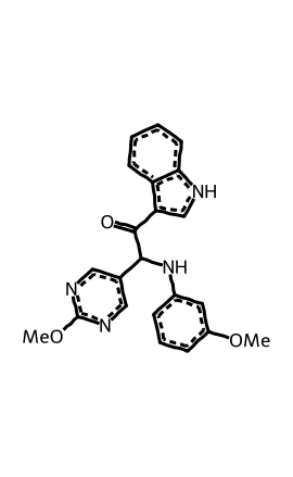 COc1cccc(NC(C(=O)c2c[nH]c3ccccc23)c2cnc(OC)nc2)c1